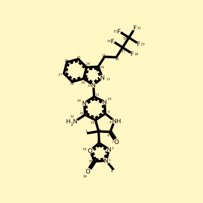 Cn1nc(C2(C)C(=O)Nc3nc(-n4nc(CCC(F)(F)C(F)(F)F)c5ccccc54)nc(N)c32)oc1=O